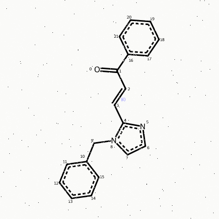 O=C(/C=C/c1nccn1Cc1ccccc1)c1ccccc1